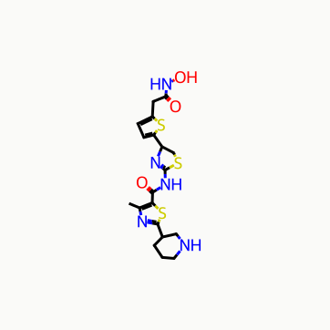 Cc1nc(C2CCCNC2)sc1C(=O)NC1=NC(c2ccc(CC(=O)NO)s2)CS1